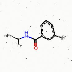 CCCC(CC)NC(=O)c1cccc(C(C)C)c1